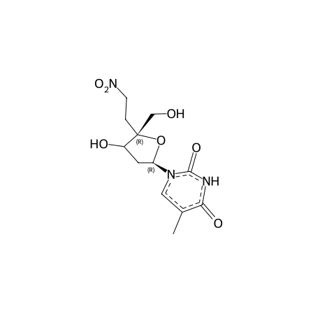 Cc1cn([C@H]2CC(O)[C@](CO)(CC[N+](=O)[O-])O2)c(=O)[nH]c1=O